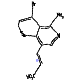 Nc1ncc(/C=C/C(=O)O)c2scc(Br)c12